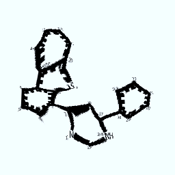 C1=NC(c2cccc3c2sc2ccccc23)=CC(c2ccccc2)N1